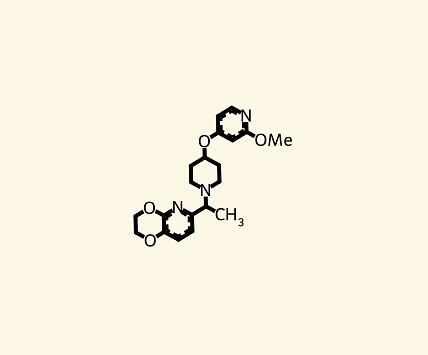 COc1cc(OC2CCN(C(C)c3ccc4c(n3)OCCO4)CC2)ccn1